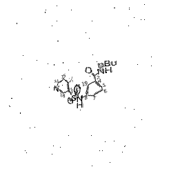 CCCCNC(=O)c1cccc(NS(=O)(=O)c2cccnc2)c1